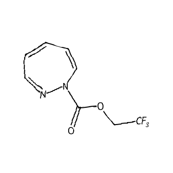 O=C(OCC(F)(F)F)N1C=CC=CC=N1